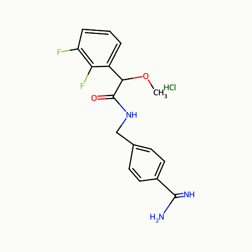 COC(C(=O)NCc1ccc(C(=N)N)cc1)c1cccc(F)c1F.Cl